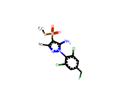 N#Cc1nn(-c2c(Cl)cc(CF)cc2Cl)c(N)c1S(=O)(=O)SC(F)(F)F